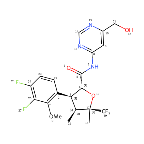 COc1c([C@H]2[C@H](C(=O)Nc3cc(CO)ncn3)O[C@@](C)(C(F)(F)F)[C@H]2C)ccc(F)c1F